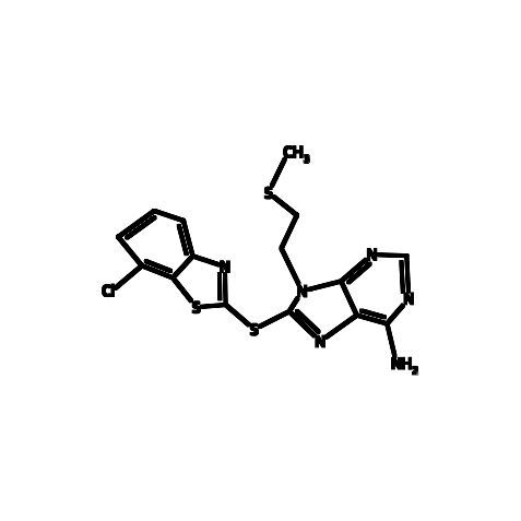 CSCCn1c(Sc2nc3cccc(Cl)c3s2)nc2c(N)ncnc21